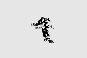 CSN1CC2(CCN(C(=O)OC(C)(C)C)CC2)CC1C(C)CCC(C)N1CC(OC(C)(C)C)CC1C(C)C